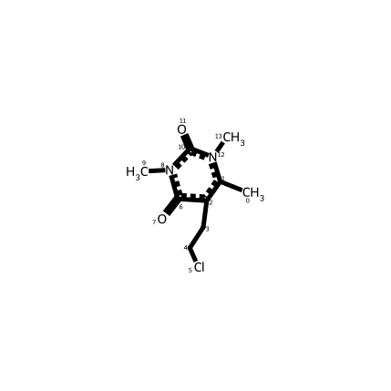 Cc1c(CCCl)c(=O)n(C)c(=O)n1C